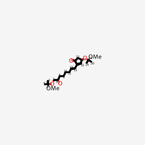 COC(C)(C)OCC(=O)CCCC/C=C/C1=CC(OC(C)(C)OC)CC1=O